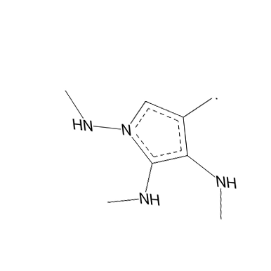 [CH2]c1cn(NC)c(NC)c1NC